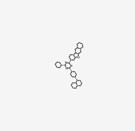 c1ccc(-c2nc(-c3ccc(-c4cccc5ccccc45)cc3)nc(-c3ccc4c(c3)oc3cc5ccccc5cc34)n2)cc1